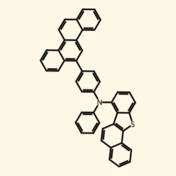 c1ccc(N(c2ccc(-c3cc4c5ccccc5ccc4c4ccccc34)cc2)c2cccc3sc4c5ccccc5ccc4c23)cc1